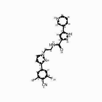 N#Cc1c(F)cc(-c2ccn(CCNC(=O)c3cc(-c4cccnc4)[nH]n3)n2)cc1F